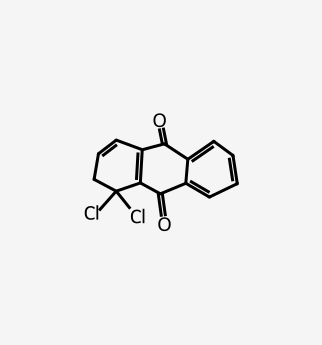 O=C1C2=C(C(=O)c3ccccc31)C(Cl)(Cl)CC=C2